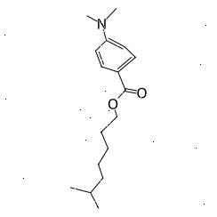 CC(C)CCCCCOC(=O)c1ccc(N(C)C)cc1